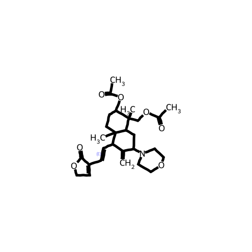 C=C1C(N2CCOCC2)CC2C(C)(COC(C)=O)C(OC(C)=O)CCC2(C)C1/C=C/C1=CCOC1=O